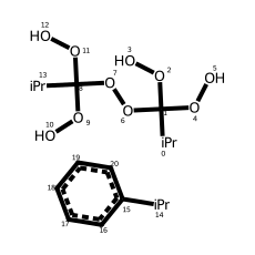 CC(C)C(OO)(OO)OOC(OO)(OO)C(C)C.CC(C)c1ccccc1